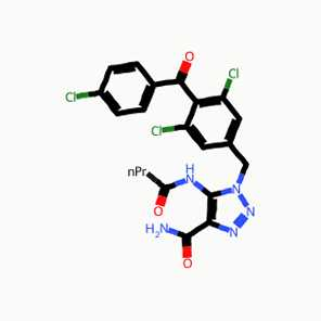 CCCC(=O)Nc1c(C(N)=O)nnn1Cc1cc(Cl)c(C(=O)c2ccc(Cl)cc2)c(Cl)c1